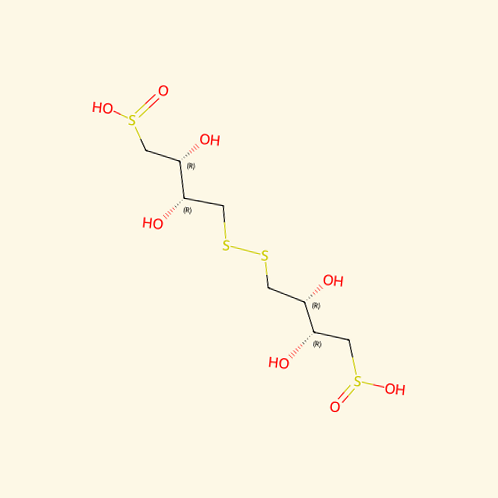 O=S(O)C[C@H](O)[C@@H](O)CSSC[C@H](O)[C@@H](O)CS(=O)O